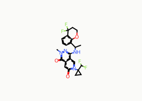 CC(Nc1nn(C)c(=O)c2cc(=O)n(C3(C(F)F)CC3)cc12)c1cccc2c1OCCC2(F)F